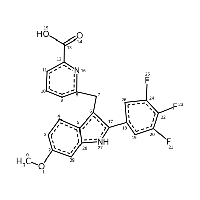 COc1ccc2c(Cc3cccc(C(=O)O)n3)c(-c3cc(F)c(F)c(F)c3)[nH]c2c1